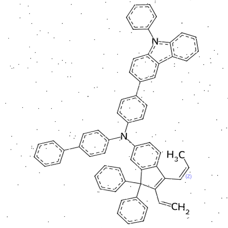 C=CC1=C(/C=C\C)c2ccc(N(c3ccc(-c4ccccc4)cc3)c3ccc(-c4ccc5c(c4)c4ccccc4n5-c4ccccc4)cc3)cc2C1(c1ccccc1)c1ccccc1